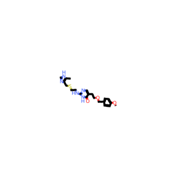 COc1ccc(COCCc2cnc(NCCSCc3nc[nH]c3C)[nH]c2=O)cc1